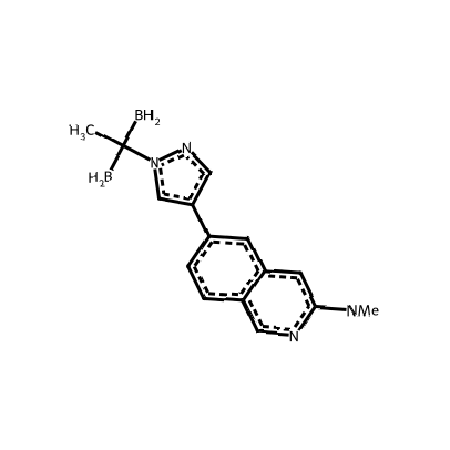 BC(B)(C)n1cc(-c2ccc3cnc(NC)cc3c2)cn1